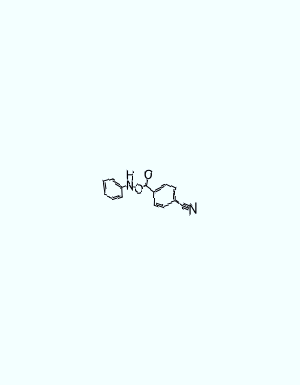 N#Cc1ccc(C(=O)ONc2ccccc2)cc1